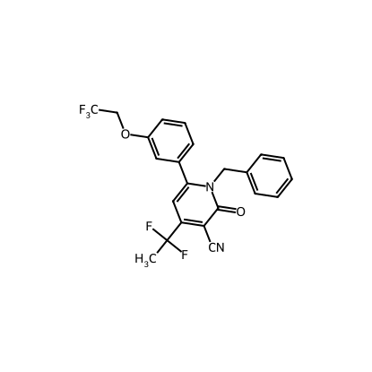 CC(F)(F)c1cc(-c2cccc(OCC(F)(F)F)c2)n(Cc2ccccc2)c(=O)c1C#N